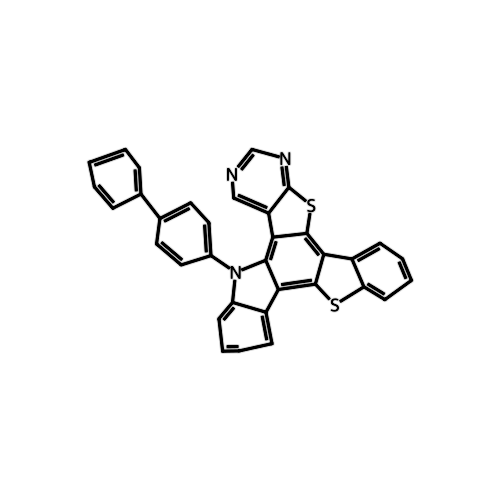 c1ccc(-c2ccc(-n3c4ccccc4c4c5sc6ccccc6c5c5sc6ncncc6c5c43)cc2)cc1